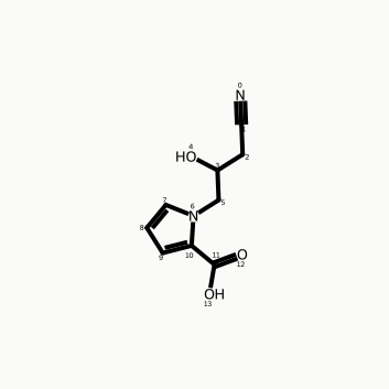 N#CCC(O)Cn1cccc1C(=O)O